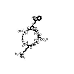 CC1NC(=O)C(CC(=O)O)NC(=O)CNC(=O)C(CCCCN=C(N)N)NC(=O)CCSSCC(C=O)NC(=O)C2CC(OCc3c[nH]c4ccccc34)CN2C1=O